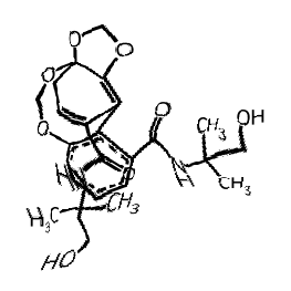 CC(C)(CO)NC(=O)C1=CCC23OCOC2=C1c1c(cccc1C(=O)NC(C)(C)CO)OCO3